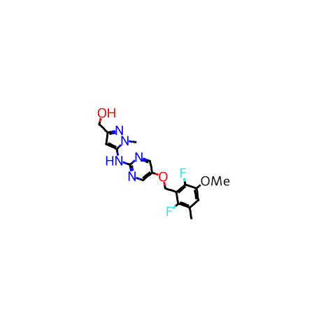 COc1cc(C)c(F)c(COc2cnc(Nc3cc(CO)nn3C)nc2)c1F